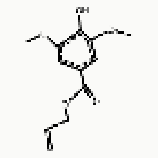 C=CCOC(=O)c1cc(OC)c(O)c(OC)c1